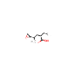 CCC(CC(C)C1CO1)C(=O)O